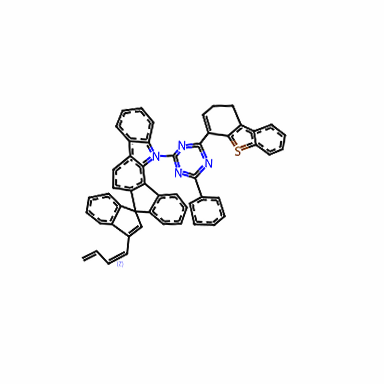 C=C/C=C\C1=CC2(c3ccccc31)c1ccccc1-c1c2ccc2c3ccccc3n(-c3nc(C4=CCCc5c4sc4ccccc54)nc(-c4ccccc4)n3)c12